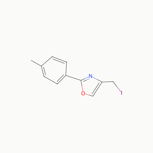 Cc1ccc(-c2nc(CI)co2)cc1